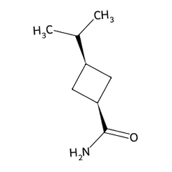 CC(C)[C@H]1C[C@@H](C(N)=O)C1